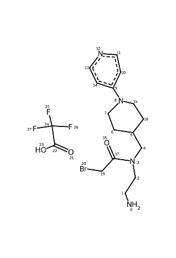 NCCN(CC1CCN(c2ccncc2)CC1)C(=O)CBr.O=C(O)C(F)(F)F